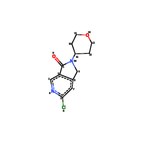 O=C1c2cnc(Cl)cc2CN1C1CCOCC1